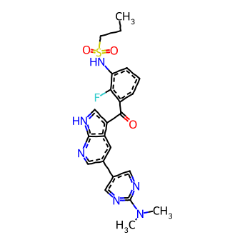 CCCS(=O)(=O)Nc1cccc(C(=O)c2c[nH]c3ncc(-c4cnc(N(C)C)nc4)cc23)c1F